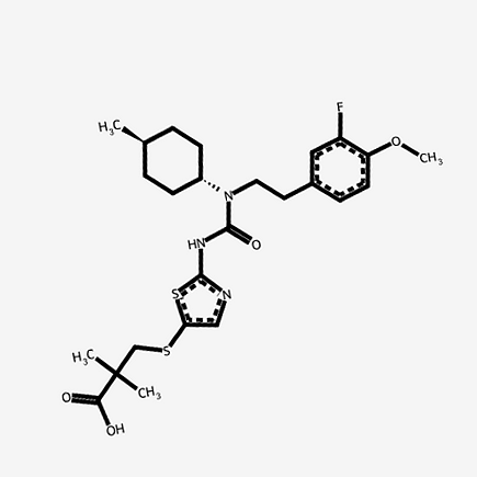 COc1ccc(CCN(C(=O)Nc2ncc(SCC(C)(C)C(=O)O)s2)[C@H]2CC[C@H](C)CC2)cc1F